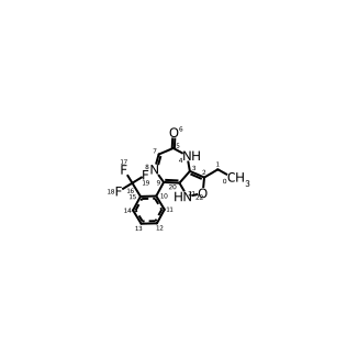 CCC1=C2NC(=O)C=NC(c3ccccc3C(F)(F)F)=C2NO1